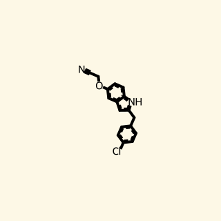 N#CCOc1ccc2[nH]c(Cc3ccc(Cl)cc3)cc2c1